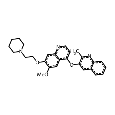 COc1cc2c(Oc3cc4ccccc4nc3C)ccnc2cc1OCCN1CCCCC1